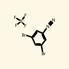 F[B-](F)(F)F.N#[N+]c1cc(Br)cc(Br)c1